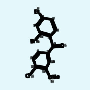 CCc1ccc(C(=O)c2ccc(Cl)c(OC)c2)c(Br)c1